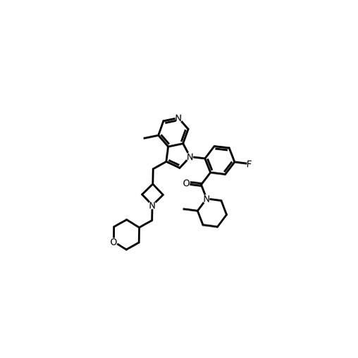 Cc1cncc2c1c(CC1CN(CC3CCOCC3)C1)cn2-c1ccc(F)cc1C(=O)N1CCCCC1C